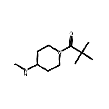 CNC1CCN(C(=O)C(C)(C)C)CC1